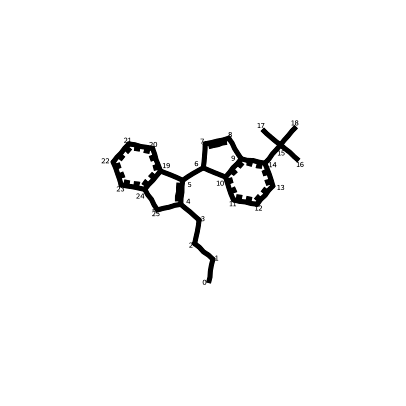 CCCCC1=C(C2C=Cc3c2cccc3C(C)(C)C)c2ccccc2[CH]1